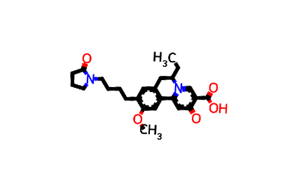 CCC1Cc2cc(CCCCN3CCCC3=O)c(OC)cc2-c2cc(=O)c(C(=O)O)cn21